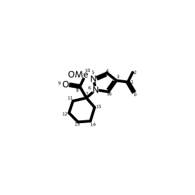 C=C(C)c1cnn(C2(C(=O)OC)CCCCC2)c1